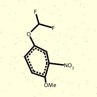 COc1c[c]c(OC(F)F)cc1[N+](=O)[O-]